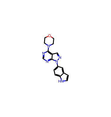 c1nc(N2CCOCC2)c2cnn(-c3ccc4[nH]ccc4c3)c2n1